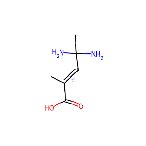 C/C(=C\C(C)(N)N)C(=O)O